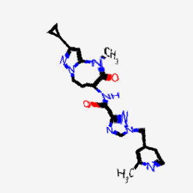 CC1=CC(Cn2cnc(C(=O)NC3CCn4nc(C5CC5)cc4N(C)C3=O)n2)CC=N1